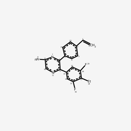 C=Cc1ccc(-c2nc(CCC)cnc2-c2cc(F)c(CC)c(F)c2)cc1